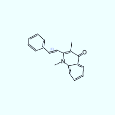 Cc1c(/C=C/c2ccccc2)n(C)c2ccccc2c1=O